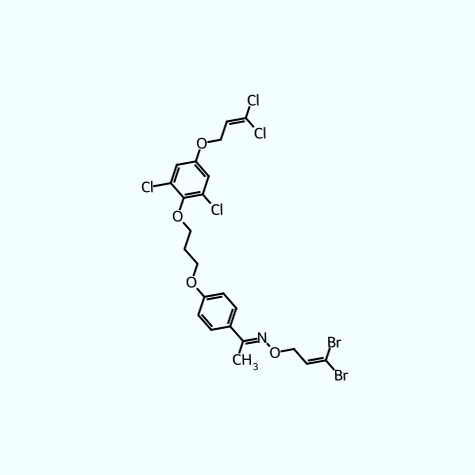 CC(=NOCC=C(Br)Br)c1ccc(OCCCOc2c(Cl)cc(OCC=C(Cl)Cl)cc2Cl)cc1